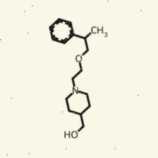 CC(COCCN1CCC(CO)CC1)c1ccccc1